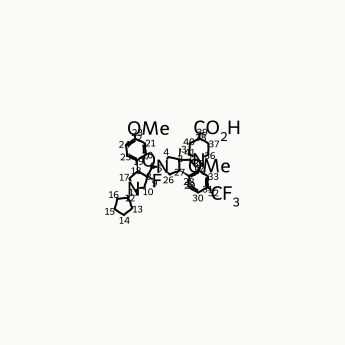 COC[C@@]1(C)CN(C(=O)[C@]2(F)CN(C3CCCC3)C[C@H]2c2ccc(OC)cc2)C[C@@H]1c1ccc(C(F)(F)F)cc1N1CCC(C(=O)O)CC1